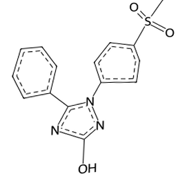 CS(=O)(=O)c1ccc(-n2nc(O)nc2-c2ccccc2)cc1